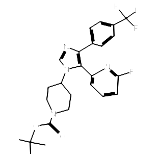 CC(C)(C)OC(=O)N1CCC(n2cnc(-c3ccc(C(F)(F)F)cc3)c2-c2cccc(F)n2)CC1